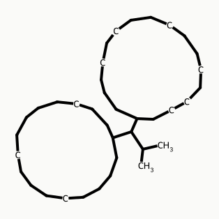 CC(C)C(C1CCCCCCCCCCCCCCCC1)C1CCCCCCCCCCCCCCCC1